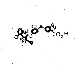 [2H]C(Oc1ccc([C@H]2C[C@@H]2c2ccc3c(C(=O)O)nn(C)c3c2)c(Cl)c1)c1c(-c2c(Cl)cccc2Cl)noc1C1CC1